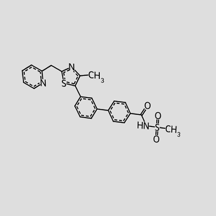 Cc1nc(Cc2ccccn2)sc1-c1cccc(-c2ccc(C(=O)NS(C)(=O)=O)cc2)c1